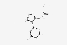 CC(C)(C)OC(=O)Nc1[nH]nc(C(=O)O)c1-c1cc(I)ccn1